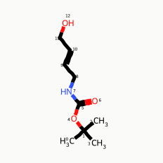 CC(C)(C)OC(=O)NC/C=C/CO